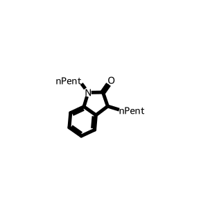 CCCCCC1C(=O)N(CCCCC)c2ccccc21